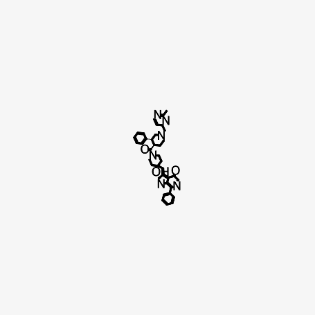 Cc1nccc(CN2CC[C@@H](C(=O)N3CCC(O)(CC4=C5C(=O)C=NC(c6ccccc6)=C5N=C4)CC3)[C@H](c3ccccc3)C2)n1